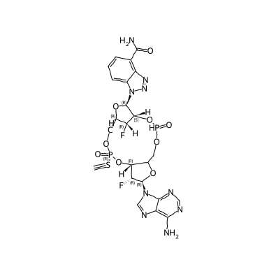 C#S[P@]1(=O)OC[C@H]2O[C@@H](n3nnc4c(C(N)=O)cccc43)[C@H](O[PH](=O)OCC3O[C@@H](n4cnc5c(N)ncnc54)[C@H](F)[C@@H]3O1)[C@@H]2F